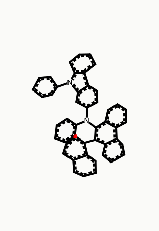 c1ccc(N(c2ccc3c4ccccc4n(-c4ccccc4)c3c2)c2c(-c3cccc4ccccc34)c3ccccc3c3ccccc23)cc1